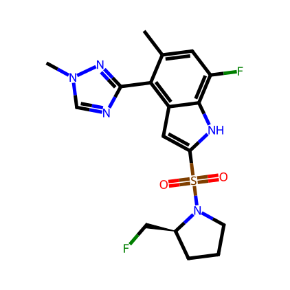 Cc1cc(F)c2[nH]c(S(=O)(=O)N3CCC[C@H]3CF)cc2c1-c1ncn(C)n1